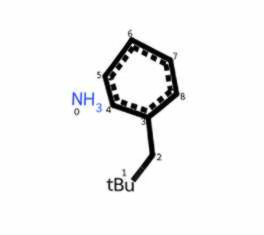 N.[CH2]C(C)(C)Cc1ccccc1